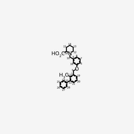 Cc1c(COc2cccc(CN3CCCCC3C(=O)O)c2)cccc1-c1ccccc1